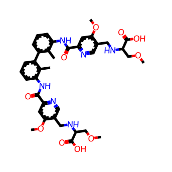 COCC(NCc1cnc(C(=O)Nc2cccc(-c3cccc(NC(=O)c4cc(OC)c(CNC(COC)C(=O)O)cn4)c3C)c2C)cc1OC)C(=O)O